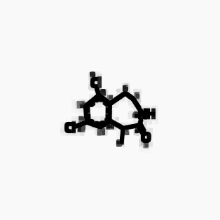 CC1C(=O)NCCc2c(Cl)cc(Cl)cc21